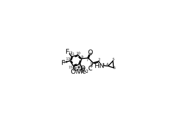 CCOC(=O)/C(=C\NC1CC1)C(=O)c1cc(F)c(F)c(OC)c1F